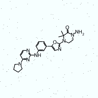 CC1(C)C(=O)N(N)CCN1c1ncc(-c2cccc(Nc3nccc(N4CCCC4)n3)c2)o1